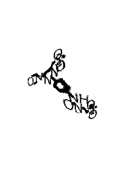 CN(CCS(C)(=O)=O)C(=O)Nc1ccc(-c2nc(CS(C)(=O)=O)cc(N3CCOCC3)n2)cc1